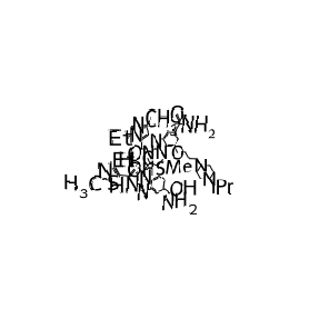 CCc1nc(C)sc1C(=O)Nc1nc2cc(C(N)O)cc(SC)c2n1CC(C)CCn1c(NC(=O)c2cc(C)nn2CC)nc2cc(C(N)=O)cc(OCCCN3CCN(C(C)C)CC3)c21